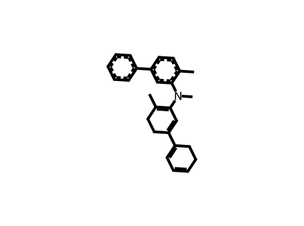 CC1=C(N(C)c2cc(-c3ccccc3)ccc2C)C=C(C2=CC=CCC2)CC1